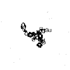 CC(C)(C)OC(=O)n1nc(-c2cc3cc(OCCN4CCOCC4)ccc3n2C(=O)OC(C)(C)C)c2cc(OP(C)(=O)c3ccccc3)ccc21